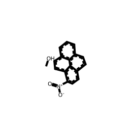 CO.O=[N+]([O-])c1ccc2ccc3cccc4ccc1c2c34